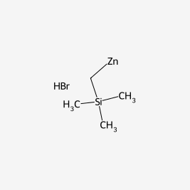 Br.C[Si](C)(C)[CH2][Zn]